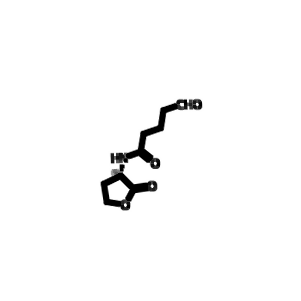 O=CCCCC(=O)N[C@H]1CCOC1=O